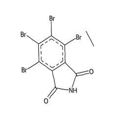 CC.O=C1NC(=O)c2c(Br)c(Br)c(Br)c(Br)c21